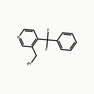 C[C](C)Cc1cnccc1C(F)(F)c1ccccc1